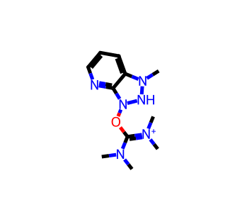 CN(C)C(ON1NN(C)c2cccnc21)=[N+](C)C